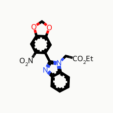 CCOC(=O)Cn1c(-c2cc3c(cc2[N+](=O)[O-])OCO3)nc2ccccc21